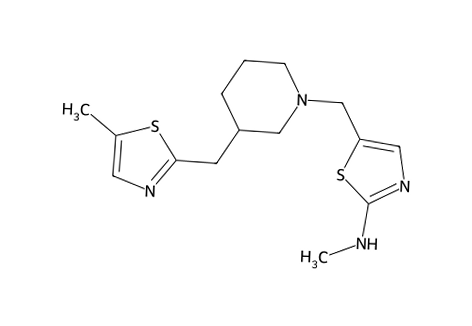 CNc1ncc(CN2CCCC(Cc3ncc(C)s3)C2)s1